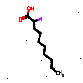 CCCCCCCCC(I)C(=O)O